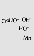 [Cr+3].[Mn].[OH-].[OH-].[OH-]